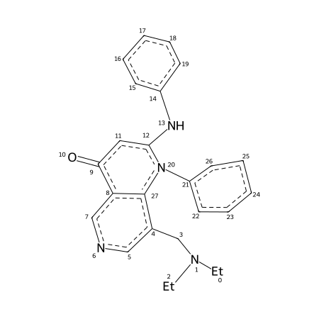 CCN(CC)Cc1cncc2c(=O)cc(Nc3ccccc3)n(-c3ccccc3)c12